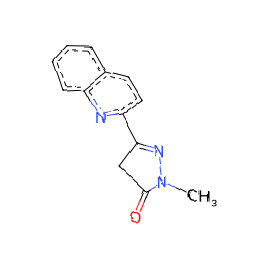 CN1N=C(c2ccc3ccccc3n2)CC1=O